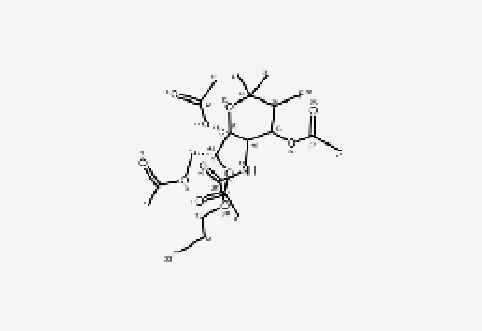 CC(=O)OC[C@@H](OC(C)=O)[C@@]1(OC(C)=O)OC(C)(C)C(F)C(OC(C)=O)C1NC(=O)OCCF